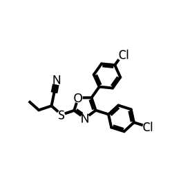 CCC(C#N)Sc1nc(-c2ccc(Cl)cc2)c(-c2ccc(Cl)cc2)o1